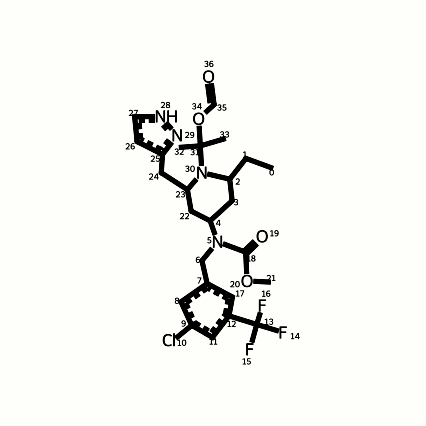 CCC1CC(N(Cc2cc(Cl)cc(C(F)(F)F)c2)C(=O)OC)CC(Cc2cc[nH]n2)N1C(C)(C)OC=O